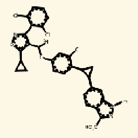 [2H]C(Oc1ccc(C2CC2c2ccc3c(C(=O)O)nn(C(C)C)c3c2)c(Cl)c1)c1c(-c2c(Cl)cccc2Cl)noc1C1CC1